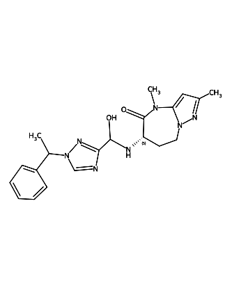 Cc1cc2n(n1)CC[C@H](NC(O)c1ncn(C(C)c3ccccc3)n1)C(=O)N2C